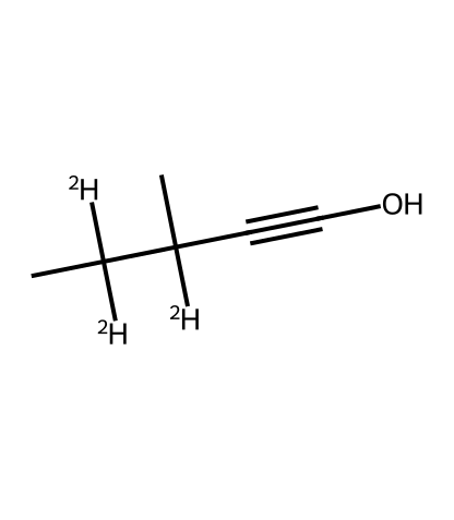 [2H]C([2H])(C)C([2H])(C)C#CO